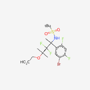 CC(C)(OCC(=O)O)C(F)(F)C(C)(NS(=O)(=O)C(C)(C)C)c1cc(Br)c(F)cc1F